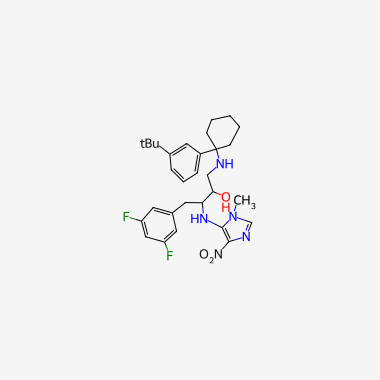 Cn1cnc([N+](=O)[O-])c1NC(Cc1cc(F)cc(F)c1)C(O)CNC1(c2cccc(C(C)(C)C)c2)CCCCC1